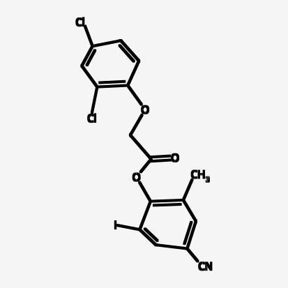 Cc1cc(C#N)cc(I)c1OC(=O)COc1ccc(Cl)cc1Cl